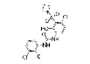 O=C(Nc1ccc(Cl)c(S(=O)(=O)N2CCC2)c1O)Nc1cccc(Cl)c1Cl